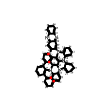 c1ccc(-c2cccc(-c3ccccc3)c2N2c3ccccc3B3c4ccccc4N4c5ccccc5B5c6cc7nc8ccccc8nc7cc6Nc6cc2c3c4c65)cc1